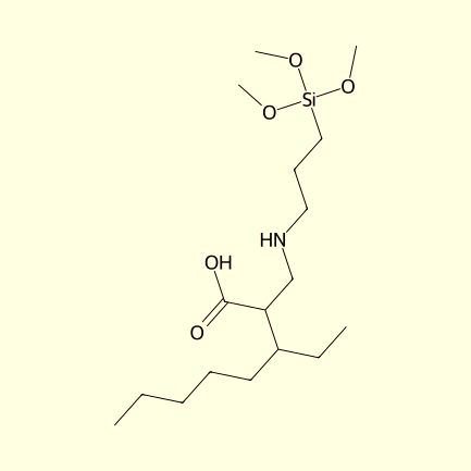 CCCCCC(CC)C(CNCCC[Si](OC)(OC)OC)C(=O)O